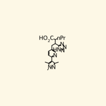 CCCC(C(=O)O)C(Cc1ccc(-c2c(C)nn(C)c2C)nc1)c1nnn[nH]1